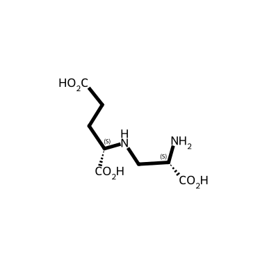 N[C@@H](CN[C@@H](CCC(=O)O)C(=O)O)C(=O)O